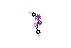 O=C(C=Cc1ccc(F)cc1)N1CCCC(c2nc(-c3ccc(F)cc3)no2)C1